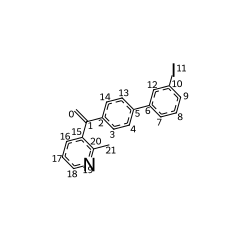 C=C(c1ccc(-c2cccc(I)c2)cc1)c1cccnc1C